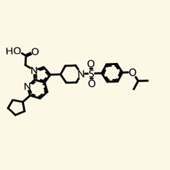 CC(C)Oc1ccc(S(=O)(=O)N2CCC(c3cn(CC(=O)O)c4nc(C5CCCC5)ccc34)CC2)cc1